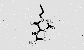 CCCOC(=O)C(NC(N)=O)NC(N)=O